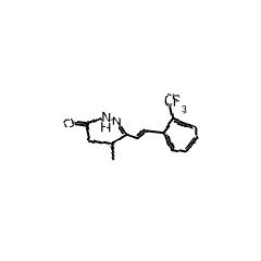 CC1CC(=O)NN=C1C=Cc1ccccc1C(F)(F)F